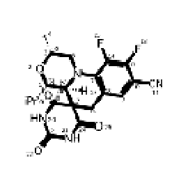 CC(C)[C@@H]1O[C@H](C)CN2c3c(cc(C#N)c(F)c3F)CC3(C(=O)NC(=O)NC3=O)[C@@H]12